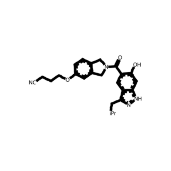 CC(C)Cc1n[nH]c2cc(O)c(C(=O)N3Cc4ccc(OCCCC#N)cc4C3)cc12